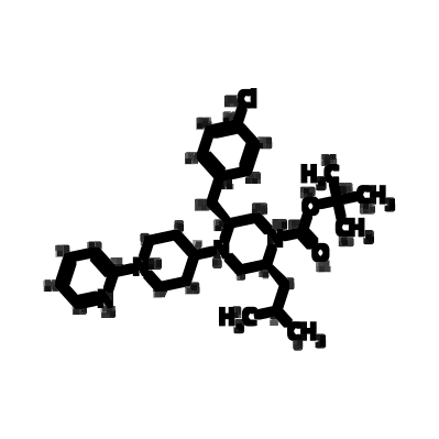 CC(C)C[C@H]1CN(C2CCN(c3ccccn3)CC2)[C@@H](Cc2ccc(Cl)cc2)CN1C(=O)OC(C)(C)C